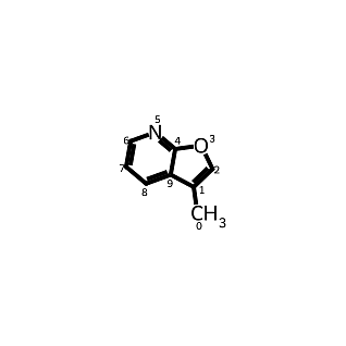 Cc1coc2ncccc12